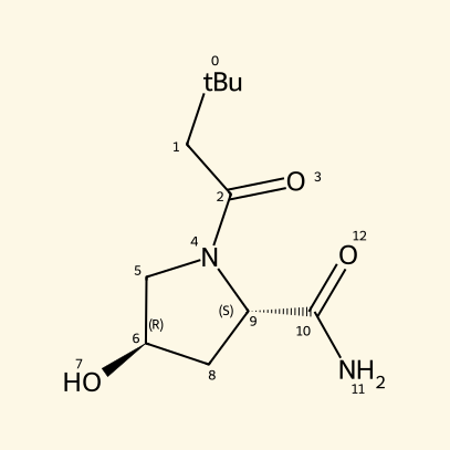 CC(C)(C)CC(=O)N1C[C@H](O)C[C@H]1C(N)=O